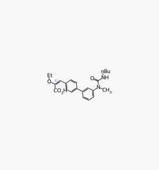 CCCCNC(=O)N(C)c1cccc(-c2ccc(/C=C(/OCC)C(=O)O)cc2)c1